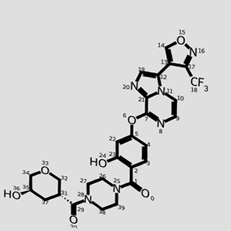 O=C(c1ccc(Oc2nccn3c(-c4conc4C(F)(F)F)cnc23)cc1O)N1CCN(C(=O)[C@H]2COC[C@H](O)C2)CC1